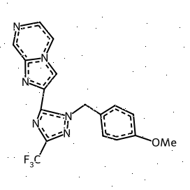 COc1ccc(Cn2nc(C(F)(F)F)nc2-c2cn3ccncc3n2)cc1